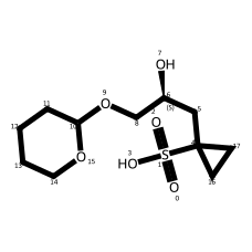 O=S(=O)(O)C1(C[C@H](O)COC2CCCCO2)CC1